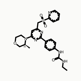 CCNC(=O)Nc1ccc(-c2nc(CS(=O)(=O)c3ccccn3)cc(N3CCOC[C@@H]3C)n2)cc1